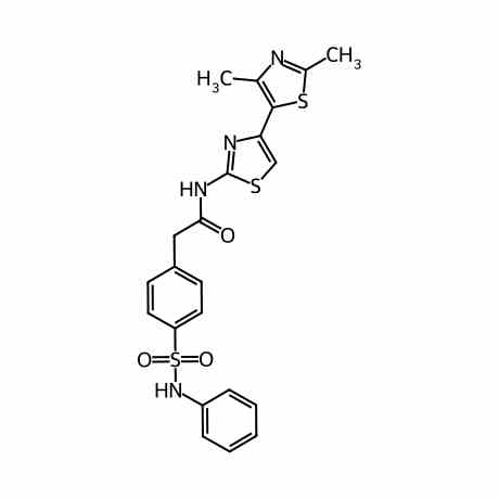 Cc1nc(C)c(-c2csc(NC(=O)Cc3ccc(S(=O)(=O)Nc4ccccc4)cc3)n2)s1